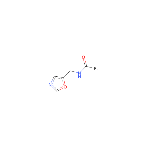 CCC(=O)NCc1cnco1